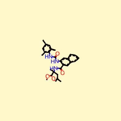 COC(=O)C(C)(CC(C)C)NC(=O)c1cc2ccccc2cc1NC(=O)Nc1c(C)cc(C)cc1C